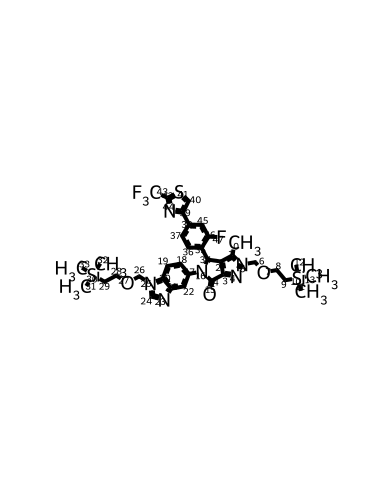 Cc1c2c(nn1COCC[Si](C)(C)C)C(=O)N(c1ccc3c(c1)ncn3COCC[Si](C)(C)C)C2c1ccc(-c2csc(C(F)(F)F)n2)cc1F